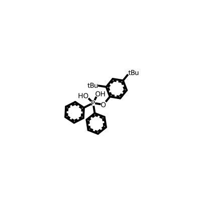 CC(C)(C)c1ccc(OP(O)(O)(c2ccccc2)c2ccccc2)c(C(C)(C)C)c1